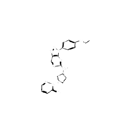 CCOc1ccc(-n2nnc3cnc(N[C@H]4CC[C@H](n5ncccc5=O)C4)nc32)cc1